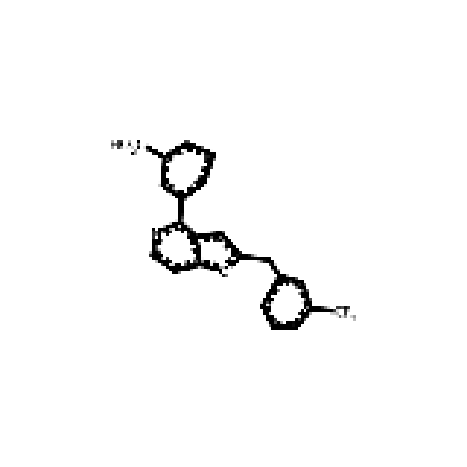 O=C(O)c1cccc(-c2nccc3oc(Cc4cccc(C(F)(F)F)c4)cc23)c1